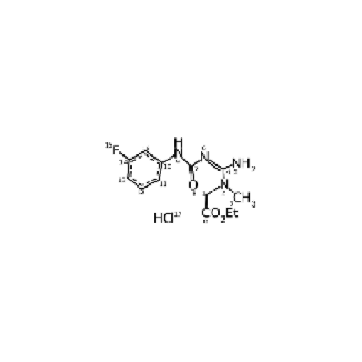 CCOC(=O)CN(C)/C(N)=N\C(=O)Nc1cccc(F)c1.Cl